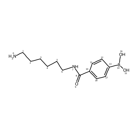 NCCCCCCNC(=O)c1ccc(B(O)O)cc1